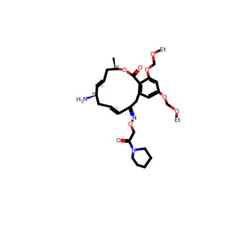 CCOCOc1cc2c(c(OCOCC)c1)C(=O)O[C@H](C)C/C=C/[C@H](N)C/C=C/C(=NOCC(=O)N1CCCCC1)C2